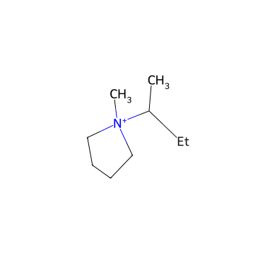 CCC(C)[N+]1(C)CCCC1